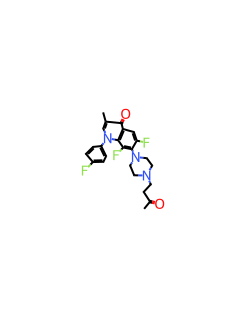 CC(=O)CCN1CCN(c2c(F)cc3c(=O)c(C)cn(-c4ccc(F)cc4)c3c2F)CC1